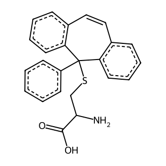 NC(CSC1(c2ccccc2)c2ccccc2C=Cc2ccccc21)C(=O)O